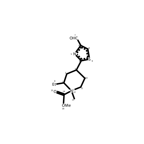 CCC1CC(c2nc(C=O)cs2)CC[N+]1(C)C(=O)OC